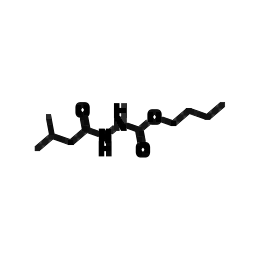 CCCCOC(=O)NNC(=O)CC(C)C